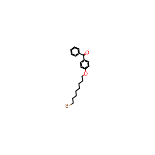 O=C(c1ccccc1)c1ccc(OCCCCCCCCBr)cc1